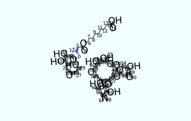 C/C(=C\C(=O)OCCCCCCCCC(=O)O)C[C@@H]1OC[C@H](C[C@@H]2O[C@H]2[C@@H](C)[C@H](C)O)[C@@H](O)[C@H]1O.CC[C@H]1OC(=O)[C@H](C)[C@@H](O[C@H]2C[C@@](C)(OC)[C@@H](O)[C@H](C)O2)[C@H](C)[C@@H](O[C@@H]2O[C@H](C)C[C@H](N(C)C)[C@H]2O)[C@](C)(O)C[C@@H](C)C(=O)[C@H](C)[C@@H](O)[C@]1(C)O